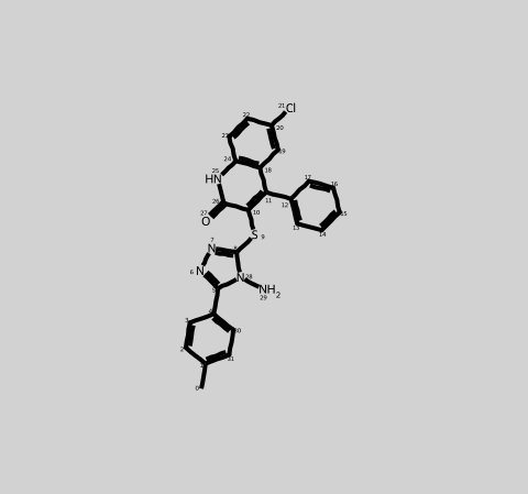 Cc1ccc(-c2nnc(Sc3c(-c4ccccc4)c4cc(Cl)ccc4[nH]c3=O)n2N)cc1